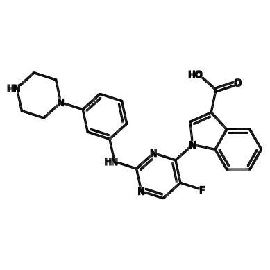 O=C(O)c1cn(-c2nc(Nc3cccc(N4CCNCC4)c3)ncc2F)c2ccccc12